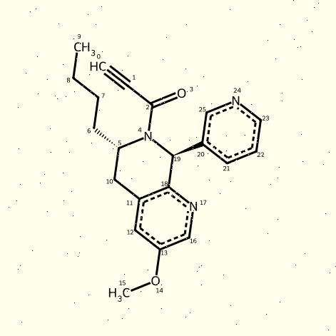 C#CC(=O)N1[C@@H](CCCC)Cc2cc(OC)cnc2[C@@H]1c1cccnc1